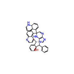 CC(c1ccccc1)[N@@+]1(C(CO)c2ccccc2)C=NC2=C1NC(C1=CC=CC3NC=CC=C13)(c1cccc3ncccc13)C=N2